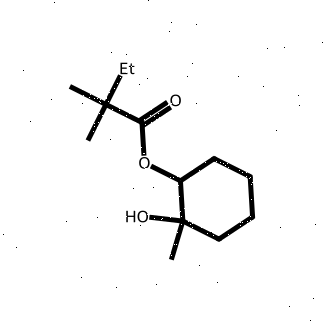 CCC(C)(C)C(=O)OC1CCCCC1(C)O